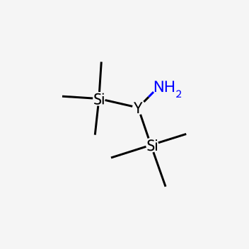 C[Si](C)(C)[Y]([NH2])[Si](C)(C)C